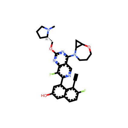 C#Cc1c(F)ccc2cc(O)cc(-c3ncc4c(N5CCCOC6CC65)nc(OC[C@@H]5CCCN5C)nc4c3F)c12